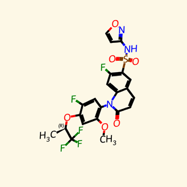 COc1cc(O[C@H](C)C(F)(F)F)c(F)cc1-n1c(=O)ccc2cc(S(=O)(=O)Nc3ccon3)c(F)cc21